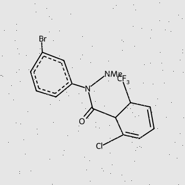 CNN(C(=O)C1C(Cl)=CC=CC1C(F)(F)F)c1cccc(Br)c1